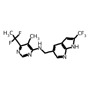 Cc1c(NCc2cnc3[nH]c(C(F)(F)F)cc3c2)ncnc1C(C)(F)F